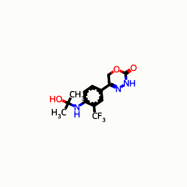 CC(C)(O)Nc1ccc(C2=NNC(=O)OC2)cc1C(F)(F)F